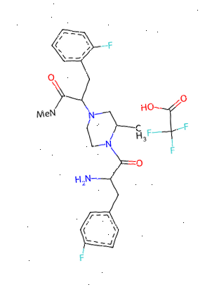 CNC(=O)C(Cc1ccccc1F)N1CCN(C(=O)C(N)Cc2ccc(F)cc2)C(C)C1.O=C(O)C(F)(F)F